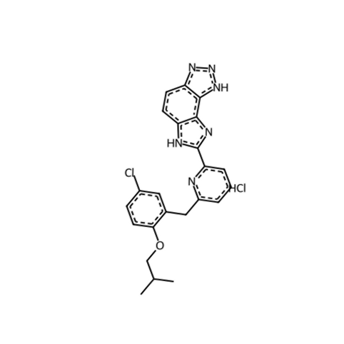 CC(C)COc1ccc(Cl)cc1Cc1cccc(-c2nc3c(ccc4nn[nH]c43)[nH]2)n1.Cl